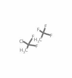 CC(F)(F)Cl.CC(F)(F)F